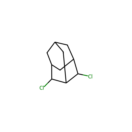 ClC1C2CC3CC(C2)C(Cl)C1C3